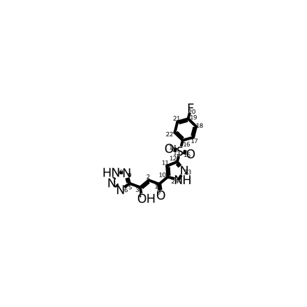 O=C(C=C(O)c1nn[nH]n1)c1cc(S(=O)(=O)c2ccc(F)cc2)n[nH]1